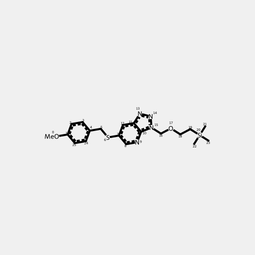 COc1ccc(CSc2cnc3c(c2)nnn3COCC[Si](C)(C)C)cc1